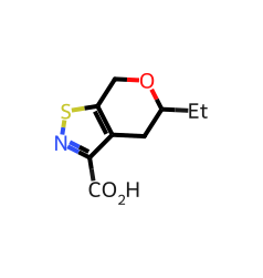 CCC1Cc2c(C(=O)O)nsc2CO1